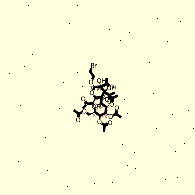 CC(=O)OC[C@H]1O[C@@H]([C@@]2(O)[C@@H](C(O)C(C)=O)O[C@H](OCCBr)[C@@](O)(C(C)=O)[C@]2(O)C(C)=O)[C@H](OC(C)=O)[C@@H](OC(C)=O)[C@H]1OC(C)=O